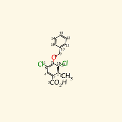 Cc1c(C(=O)O)cc(Cl)c(OCc2ccccc2)c1Cl